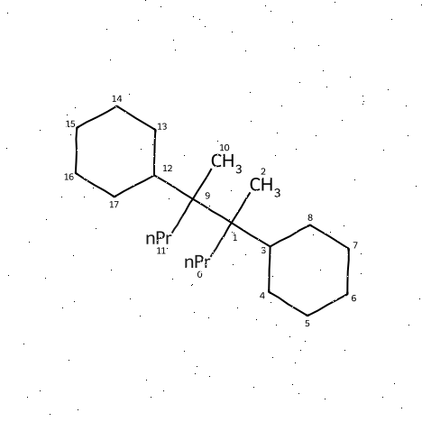 CCCC(C)(C1CCCCC1)C(C)(CCC)C1CCCCC1